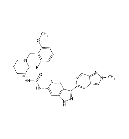 COc1cccc(F)c1CN1CCC[C@@H](NC(=O)Nc2cc3[nH]nc(-c4ccc5nn(C)cc5c4)c3cn2)C1